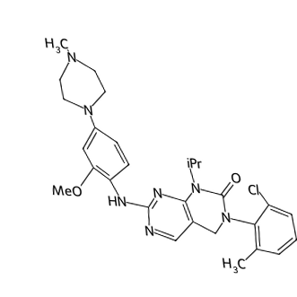 COc1cc(N2CCN(C)CC2)ccc1Nc1ncc2c(n1)N(C(C)C)C(=O)N(c1c(C)cccc1Cl)C2